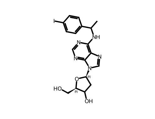 CC(Nc1ncnc2c1ncn2[C@H]1CC(O)[C@@H](CO)O1)c1ccc(I)cc1